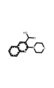 CCC(O)c1cc2ccccc2nc1N1CCSCC1